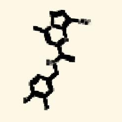 CC(=O)Oc1cnn2c(C)cc(C(=O)NCc3ccc(F)c(F)c3)nc12